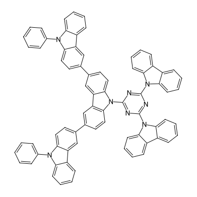 c1ccc(-n2c3ccccc3c3cc(-c4ccc5c(c4)c4cc(-c6ccc7c(c6)c6ccccc6n7-c6ccccc6)ccc4n5-c4nc(-n5c6ccccc6c6ccccc65)nc(-n5c6ccccc6c6ccccc65)n4)ccc32)cc1